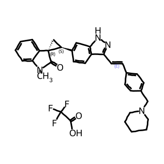 CN1C(=O)[C@@]2(C[C@H]2c2ccc3c(/C=C/c4ccc(CN5CCCCC5)cc4)n[nH]c3c2)c2ccccc21.O=C(O)C(F)(F)F